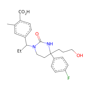 CCC(c1ccc(C(=O)O)c(C)c1)N1CCC(CCCO)(c2ccc(F)cc2)NC1=O